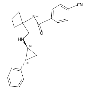 N#Cc1ccc(C(=O)NC2(CN[C@H]3C[C@@H]3c3ccccc3)CCC2)cc1